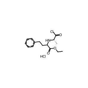 CCOC(=O)C(CCc1ccccc1)N[C@@H](C)C(=O)Cl.Cl